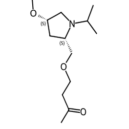 CO[C@H]1C[C@@H](COCCC(C)=O)N(C(C)C)C1